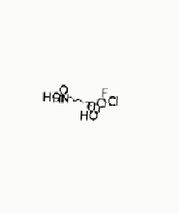 O=C(O)NCCCCCOc1cc(F)c(Cl)cc1CO